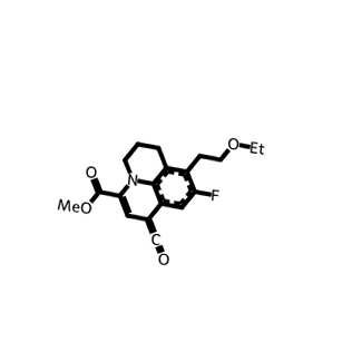 CCOCCc1c(F)cc2c3c1CCCN3C(C(=O)OC)=CC2=C=O